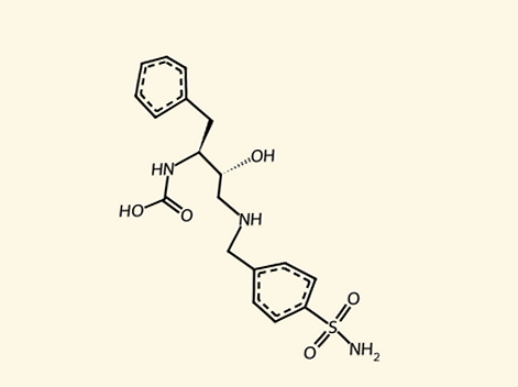 NS(=O)(=O)c1ccc(CNC[C@@H](O)[C@H](Cc2ccccc2)NC(=O)O)cc1